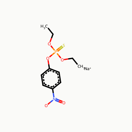 CCOP(=S)(OCC)Oc1ccc([N+](=O)[O-])cc1.[Na+]